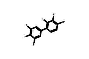 Fc1cc(-c2ccc(Br)c(F)c2F)cc(F)c1F